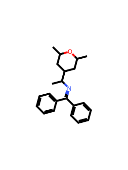 CC1CC(C(C)N=C(c2ccccc2)c2ccccc2)CC(C)O1